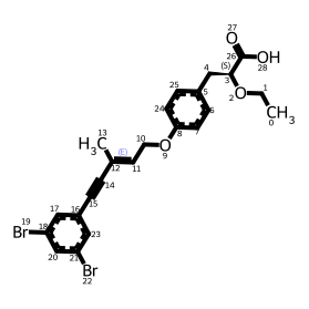 CCO[C@@H](Cc1ccc(OC/C=C(\C)C#Cc2cc(Br)cc(Br)c2)cc1)C(=O)O